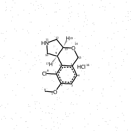 COc1ccc2c(c1Cl)[C@H]1CNC[C@H]1OC2.Cl